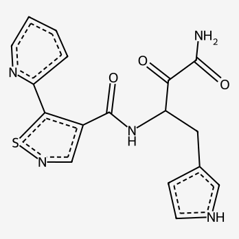 NC(=O)C(=O)C(Cc1cc[nH]c1)NC(=O)c1cnsc1-c1ccccn1